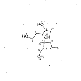 CCC(O)CCCO.CCCC(C)(O)CCO